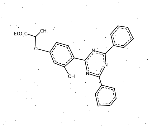 CCOC(=O)C(C)Oc1ccc(-c2nc(-c3ccccc3)nc(-c3ccccc3)n2)c(O)c1